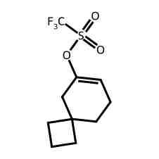 O=S(=O)(OC1=CCCC2(CCC2)C1)C(F)(F)F